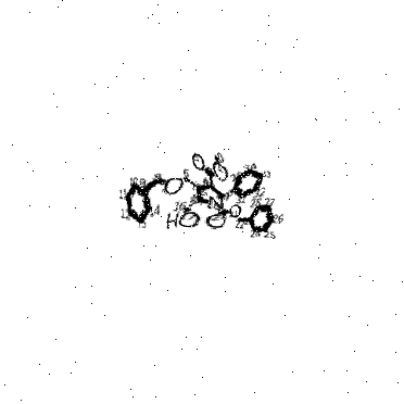 COC(=O)[C@@H]1[C@H](COCc2ccccc2)[C@@H](CO)N(C(=O)OCc2ccccc2)[C@H]1c1ccccc1